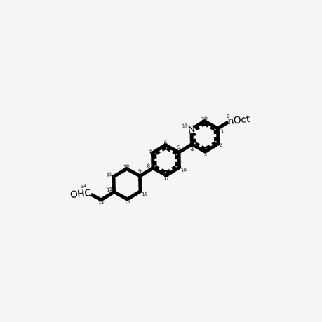 CCCCCCCCc1ccc(-c2ccc(C3CCC(CC=O)CC3)cc2)nc1